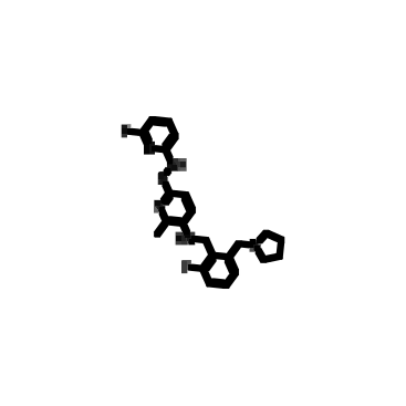 Cc1nc(SNc2cccc(F)n2)ccc1NCc1c(F)cccc1CN1CCCC1